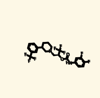 O=C(Nc1ccc(F)c(F)c1)O[C@@H](CN1CCCC(c2cccc(C(F)(F)F)c2)C1)C(F)(F)F